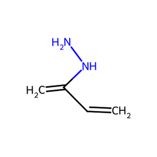 C=CC(=C)NN